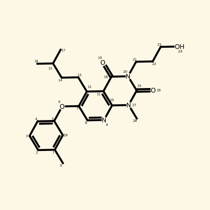 Cc1cccc(Oc2cnc3c(c2CCC(C)C)c(=O)n(CCCO)c(=O)n3C)c1